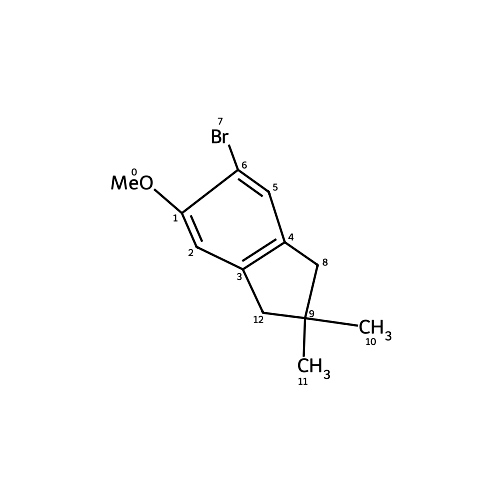 COc1cc2c(cc1Br)CC(C)(C)C2